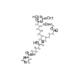 CCCCCCCCCCCOC(=O)CCCCCN(CCCCCCCC(=O)OC(CCCCCCCC)CCCCCCCC)CC(O)CCCCNC(=O)c1ccncn1